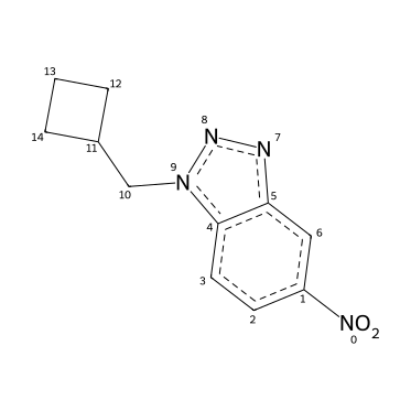 O=[N+]([O-])c1ccc2c(c1)nnn2CC1CCC1